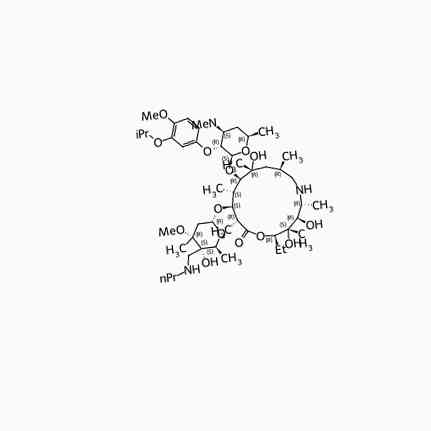 CCCNC[C@]1(O)[C@H](C)O[C@@H](O[C@H]2[C@H](C)[C@@H](O[C@@H]3O[C@H](C)C[C@H](NC)[C@H]3Oc3ccc(OC)c(OC(C)C)c3)[C@](C)(O)C[C@@H](C)CN[C@H](C)[C@@H](O)[C@](C)(O)[C@@H](CC)OC(=O)[C@@H]2C)C[C@@]1(C)OC